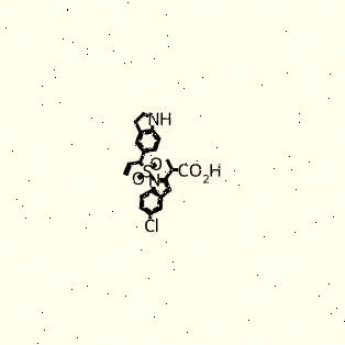 C=CC(c1ccc2c(c1)CCN2)S(=O)(=O)n1c(C(C)C(=O)O)cc2cc(Cl)ccc21